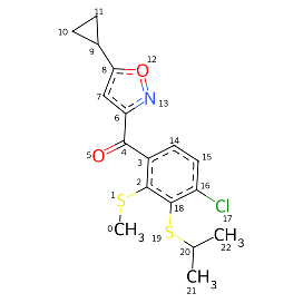 CSc1c(C(=O)c2cc(C3CC3)on2)ccc(Cl)c1SC(C)C